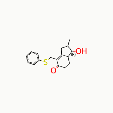 CC1CC2=C(CSc3ccccc3)C(=O)CCC2[C@@H]1O